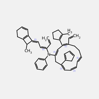 C=C/C1=C(C2=C(C)CCC2)/C=C(/N(/C(C=C)=C/C=C2/C3=C(CCC=C3)C2C)c2ccccc2)C/C(C2=CC=CC2)=C/C=C\C=C\CC1